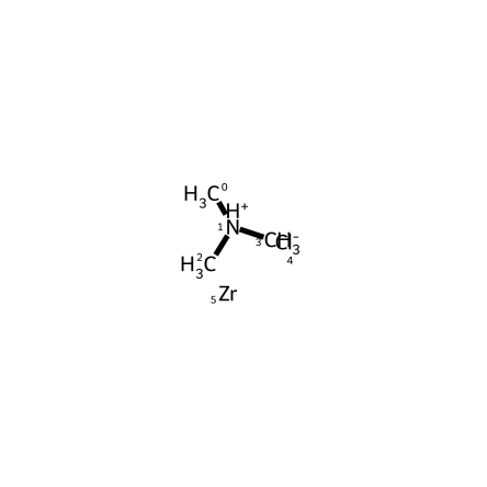 C[NH+](C)C.[Cl-].[Zr]